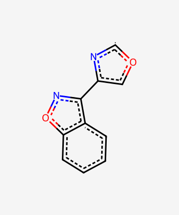 [c]1nc(-c2noc3ccccc23)co1